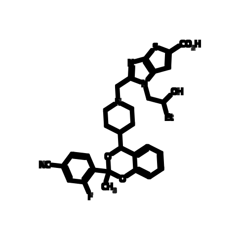 CCC(O)Cn1c(CN2CCC(C3OC(C)(c4ccc(C#N)cc4F)Oc4ccccc43)CC2)nc2sc(C(=O)O)cc21